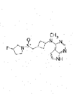 CN(c1ncnc2[nH]ccc12)C1CC(C[S+]([O-])N2CCC(F)C2)C1